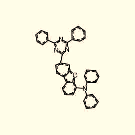 c1ccc(-c2nc(-c3ccccc3)nc(-c3ccc4c(c3)oc3c(N(c5ccccc5)c5ccccc5)cccc34)n2)cc1